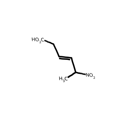 CC(C=CCC(=O)O)[N+](=O)[O-]